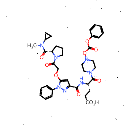 CN(C(=O)[C@@H]1CCCN1C(=O)COc1cc(C(=O)N[C@@H](CCC(=O)O)C(=O)N2CCN(OC(=O)Oc3ccccc3)CC2)nn1-c1ccccc1)C1CC1